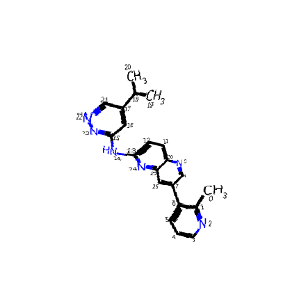 Cc1ncccc1-c1cnc2ccc(Nc3cc(C(C)C)cnn3)nc2c1